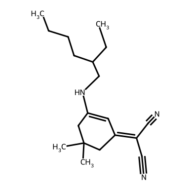 CCCCC(CC)CNC1=CC(=C(C#N)C#N)CC(C)(C)C1